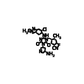 Cc1cc(F)c(C#N)cc1Cn1c(Nc2cc3cn(C)nc3cc2Cl)nc(=O)n(-c2cncc(N)c2)c1=O